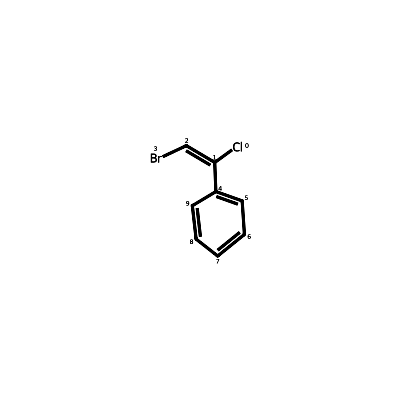 Cl/C(=C/Br)c1ccccc1